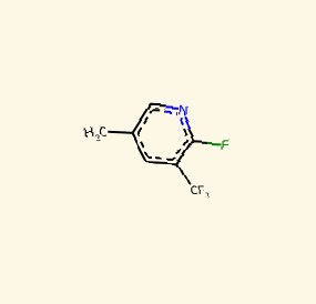 Cc1cnc(F)c(C(F)(F)F)c1